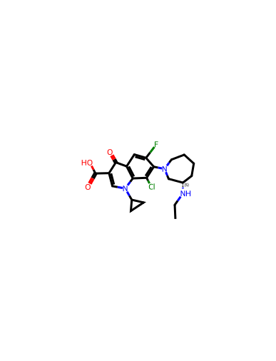 CCN[C@H]1CCCCN(c2c(F)cc3c(=O)c(C(=O)O)cn(C4CC4)c3c2Cl)C1